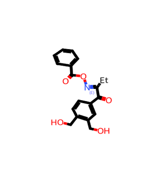 CC/C(=N\OC(=O)c1ccccc1)C(=O)c1ccc(CO)c(CO)c1